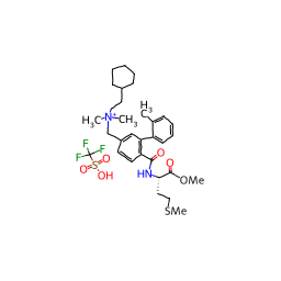 COC(=O)[C@H](CCSC)NC(=O)c1ccc(C[N+](C)(C)CCC2CCCCC2)cc1-c1ccccc1C.O=S(=O)(O)C(F)(F)F